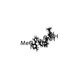 COc1ncc(F)cc1C1CCCN1c1ccn2ncc(C(=O)Nc3cc(C4CC4)n[nH]3)c2n1